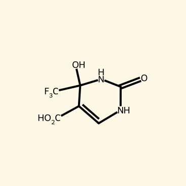 O=C1NC=C(C(=O)O)C(O)(C(F)(F)F)N1